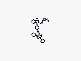 C=C/C=C\C1=COc2ccccc2N1c1ccc(/C=N/c2nc(-c3ccccc3)nn2-c2ccccc2)cc1